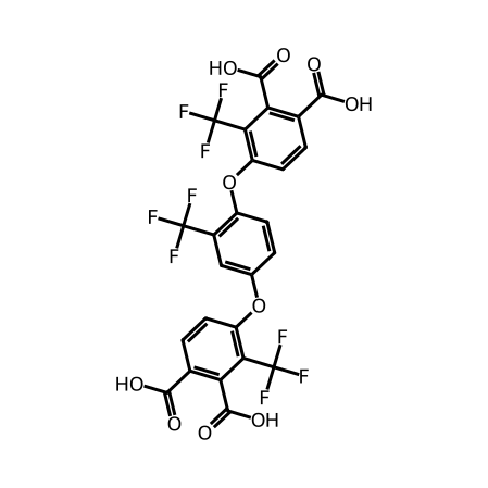 O=C(O)c1ccc(Oc2ccc(Oc3ccc(C(=O)O)c(C(=O)O)c3C(F)(F)F)c(C(F)(F)F)c2)c(C(F)(F)F)c1C(=O)O